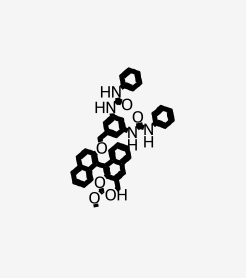 COCOc1c(CO)cc2ccccc2c1-c1c(OCc2cc(NC(=O)Nc3ccccc3)cc(NC(=O)Nc3ccccc3)c2)ccc2ccccc12